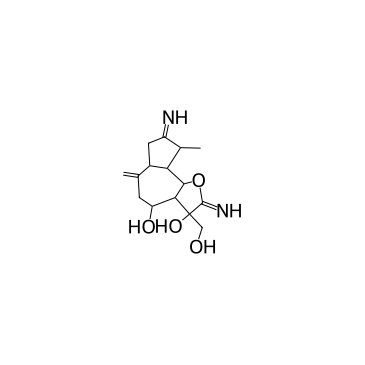 C=C1CC(O)C2C(OC(=N)C2(O)CO)C2C(C)C(=N)CC12